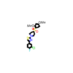 COc1ccc(S(=O)(=O)C2CCN(c3nc(-c4ccc(F)c(Cl)c4)cs3)CC2)c(OC)c1